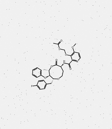 COc1ccnc(C(=O)N[C@H]2CCO[C@H](Cc3ccc(F)cc3)[C@@H](Oc3ccccc3)[C@H](C)OC2=O)c1OCOC(C)=O